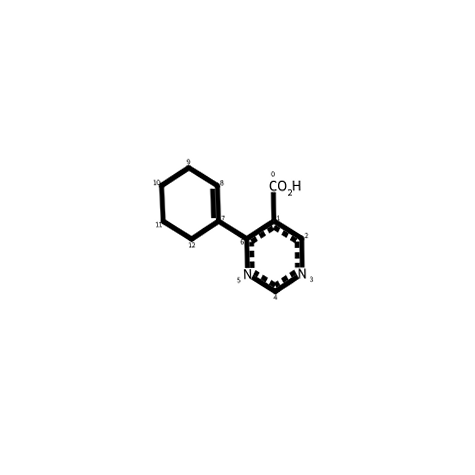 O=C(O)c1cn[c]nc1C1=CCCCC1